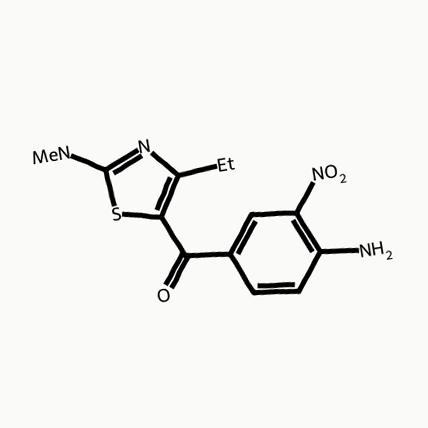 CCc1nc(NC)sc1C(=O)c1ccc(N)c([N+](=O)[O-])c1